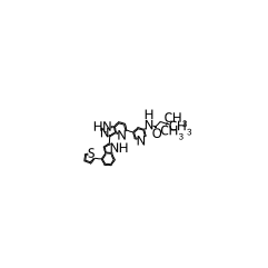 CC(C)(C)CC(=O)Nc1cncc(-c2ccc3[nH]nc(-c4cc5c(-c6cccs6)cccc5[nH]4)c3n2)c1